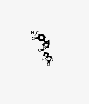 Cc1ccc(C23CC2CN(C(=O)[C@H]2C[C@]4(COC(=O)N4)C2)C3)cc1Cl